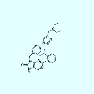 CCN(CC)Cc1cn(-c2ccc(Cn3c(=O)[nH]c4cnc(-c5ccccc5C(C)C)nc43)cc2)nn1